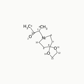 CC(=O)C(C)N1CCC2(CC1)OCCO2